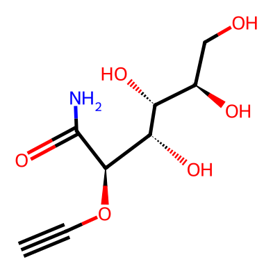 C#CO[C@@H](C(N)=O)[C@@H](O)[C@H](O)[C@H](O)CO